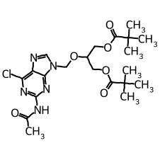 CC(=O)Nc1nc(Cl)c2ncn(COC(COC(=O)C(C)(C)C)COC(=O)C(C)(C)C)c2n1